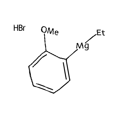 Br.C[CH2][Mg][c]1ccccc1OC